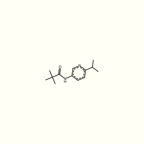 CC(C)c1ccc(NC(=O)C(C)(C)C)cn1